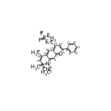 CCN1c2cc3[o+]c(-c4ccccc4)cc(C)c3cc2C(C)=CC1(C)C.F[B-](F)(F)F